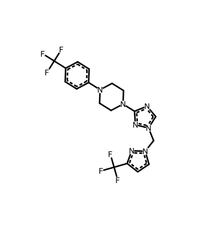 FC(F)(F)c1ccc(N2CCN(c3ncn(Cn4ccc(C(F)(F)F)n4)n3)CC2)cc1